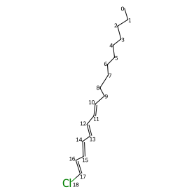 CCCCCCCCCCC=CC=CC=CC=CCl